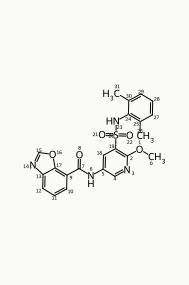 COc1ncc(NC(=O)c2cccc3ncoc23)cc1S(=O)(=O)Nc1c(C)cccc1C